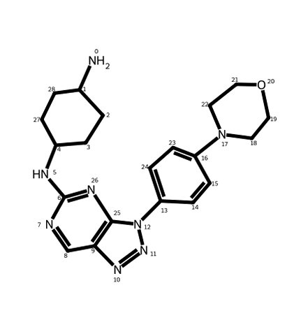 NC1CCC(Nc2ncc3nnn(-c4ccc(N5CCOCC5)cc4)c3n2)CC1